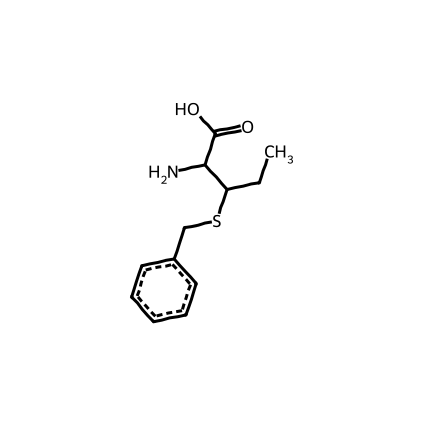 CCC(SCc1ccccc1)C(N)C(=O)O